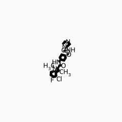 Cc1c(C(=O)Nc2ccc(S(=O)(=O)Nc3cnccn3)cc2)n(C)c2ccc(F)c(Cl)c12